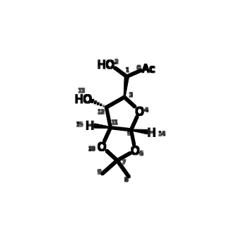 CC(=O)C(O)[C@H]1O[C@@H]2OC(C)(C)O[C@@H]2[C@@H]1O